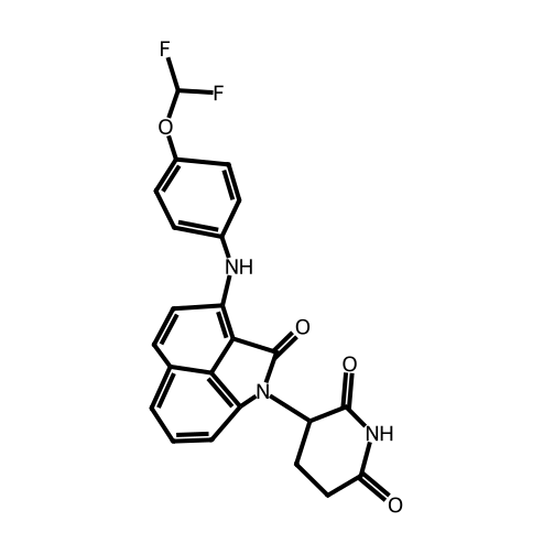 O=C1CCC(N2C(=O)c3c(Nc4ccc(OC(F)F)cc4)ccc4cccc2c34)C(=O)N1